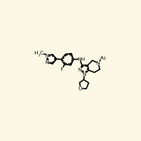 CC(=O)N1CCc2c(c(Nc3ccc(-c4cnn(C)c4)c(F)c3)nn2C2CCOC2)C1